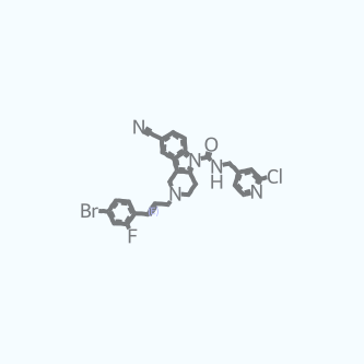 N#Cc1ccc2c(c1)c1c(n2C(=O)NCc2ccnc(Cl)c2)CCN(C/C=C/c2ccc(Br)cc2F)C1